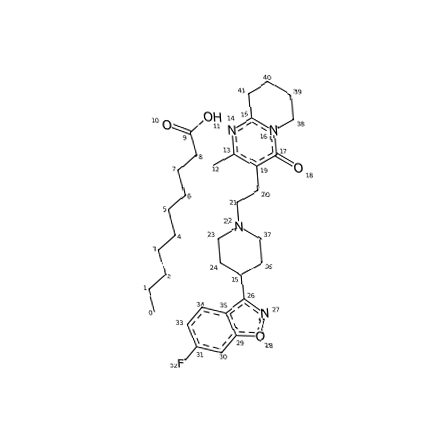 CCCCCCCCCC(=O)O.Cc1nc2n(c(=O)c1CCN1CCC(c3noc4cc(F)ccc34)CC1)CCCC2